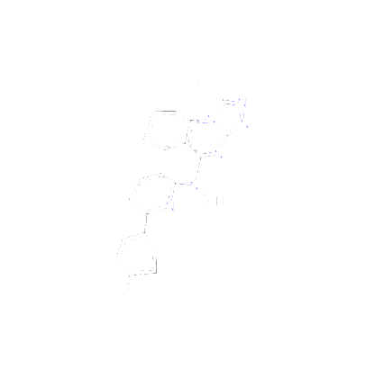 CN(c1cccc(-c2ccc(Cl)cc2)n1)c1nc2nnc(Cl)n2c2ccccc12